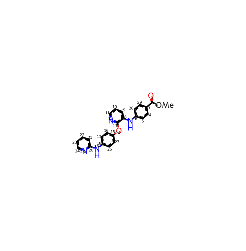 COC(=O)c1ccc(Nc2cccnc2Oc2ccc(Nc3ccccn3)cc2)cc1